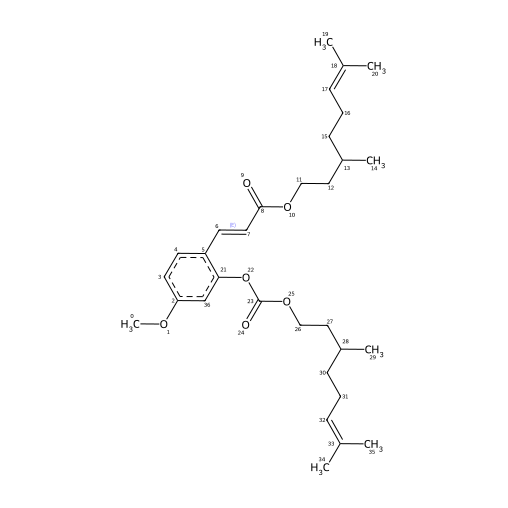 COc1ccc(/C=C/C(=O)OCCC(C)CCC=C(C)C)c(OC(=O)OCCC(C)CCC=C(C)C)c1